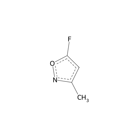 Cc1cc(F)on1